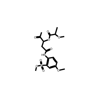 COc1ccc(NC(=O)CC(OC(=O)C(C)OC)C(C)=O)c(S(=O)(=O)OC)c1